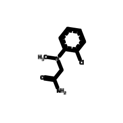 CN(CC(N)=O)c1ccccc1Cl